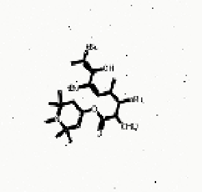 CCCCC(C(C)/C=C(\C(O)=C(/C)C(C)(C)C)C(C)(C)C)C(C=O)C(=O)OC1CC(C)(C)N(C)C(C)(C)C1